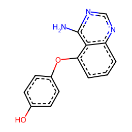 Nc1ncnc2cccc(Oc3ccc(O)cc3)c12